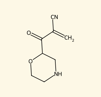 C=C(C#N)C(=O)C1CNCCO1